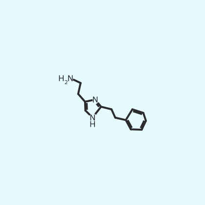 NCCc1c[nH]c(CCc2ccccc2)n1